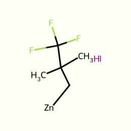 CC(C)([CH2][Zn])C(F)(F)F.I